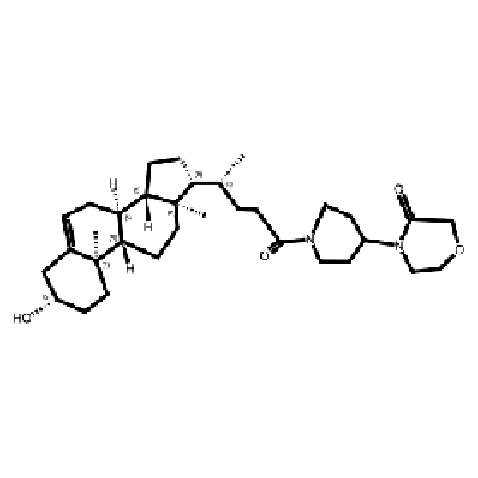 C[C@H](CCC(=O)N1CCC(N2CCOCC2=O)CC1)[C@H]1CC[C@H]2[C@@H]3CC=C4C[C@@H](O)CC[C@]4(C)[C@H]3CC[C@]12C